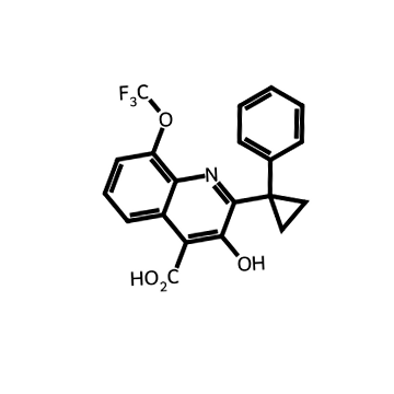 O=C(O)c1c(O)c(C2(c3ccccc3)CC2)nc2c(OC(F)(F)F)cccc12